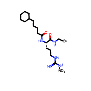 [CH2]CC(C)CNC(=O)[C@H](CCCNC(=N)N[N+](=O)[O-])NC(=O)CCCCC1CCCCC1